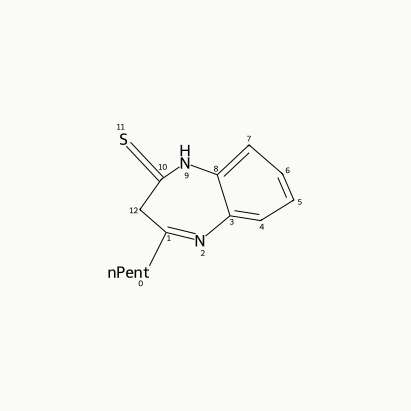 CCCCCC1=Nc2ccccc2NC(=S)C1